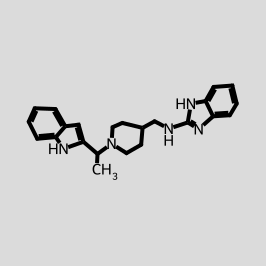 CC(c1cc2ccccc2[nH]1)N1CCC(CNc2nc3ccccc3[nH]2)CC1